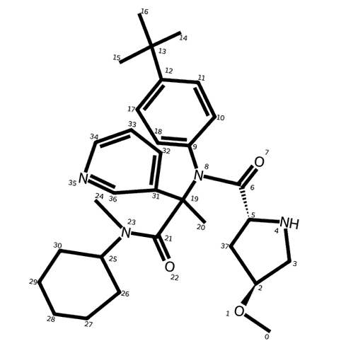 CO[C@@H]1CN[C@@H](C(=O)N(c2ccc(C(C)(C)C)cc2)C(C)(C(=O)N(C)C2CCCCC2)c2cccnc2)C1